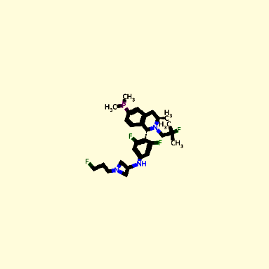 C[C@@H]1Cc2cc(P(C)C)ccc2[C@@H](c2c(F)cc(NC3CN(CCCF)C3)cc2F)N1CC(C)(C)F